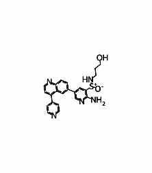 Nc1ncc(-c2ccc3nccc(-c4ccncc4)c3c2)cc1[S+]([O-])NCCCO